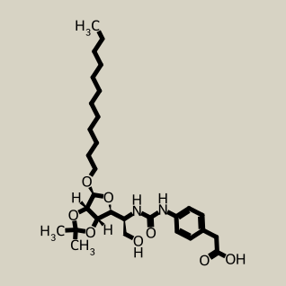 CCCCCCCCCCCCO[C@H]1O[C@H]([C@H](CO)NC(=O)Nc2ccc(CC(=O)O)cc2)[C@@H]2OC(C)(C)O[C@H]12